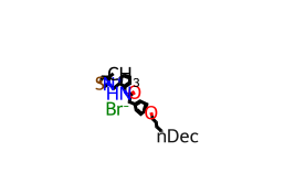 CCCCCCCCCCCCCCOc1ccc(CC(=O)Nc2ccccc2C[n+]2cscc2C)cc1.[Br-]